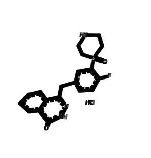 Cl.O=c1[nH]nc(Cc2ccc(F)c(P3(=O)CCNCC3)c2)c2ccccc12